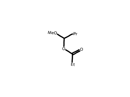 CCC(=O)OC(OC)C(C)C